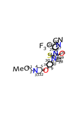 COCCN1CCC(Oc2ccc(N3C(=S)N(c4cnc(C#N)c(C(F)(F)F)c4)C(=O)C34CCC4)cc2)CC1